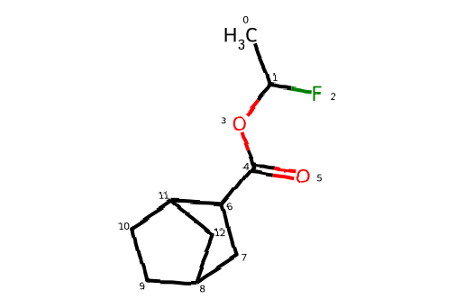 CC(F)OC(=O)C1CC2CCC1C2